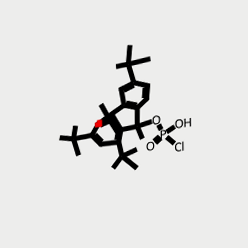 CC(C)(C)c1ccc(C(C)(OP(=O)(O)Cl)c2ccc(C(C)(C)C)cc2C(C)(C)C)c(C(C)(C)C)c1